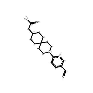 O=Cc1ccc(N2CCC3(CCC(CC(=O)O)CC3)CC2)nc1